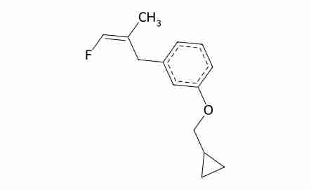 C/C(=C/F)Cc1cccc(OCC2CC2)c1